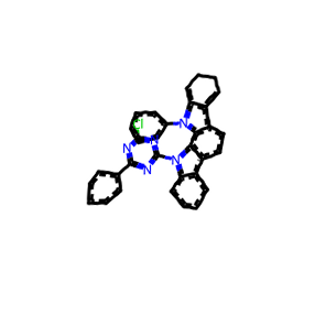 Clc1nc(-c2ccccc2)nc(-n2c3ccccc3c3ccc4c5c(n(-c6ccccc6)c4c32)=CCCC=5)n1